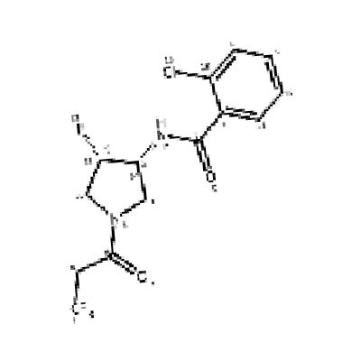 O=C(N[C@@H]1CN(C(=O)CC(F)(F)F)C[C@@H]1F)c1ccccc1Cl